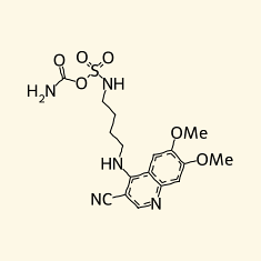 COc1cc2ncc(C#N)c(NCCCCNS(=O)(=O)OC(N)=O)c2cc1OC